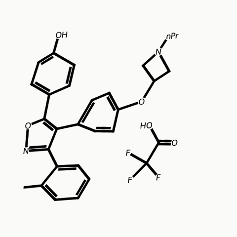 CCCN1CC(Oc2ccc(-c3c(-c4ccccc4C)noc3-c3ccc(O)cc3)cc2)C1.O=C(O)C(F)(F)F